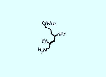 CCCC(/C=C(\CC)CN)CCCOC